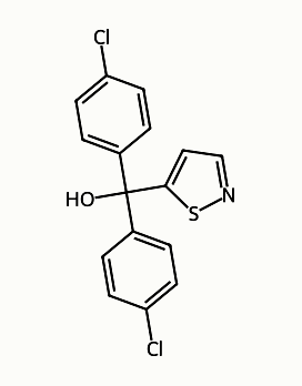 OC(c1ccc(Cl)cc1)(c1ccc(Cl)cc1)c1ccns1